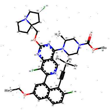 COCOc1cc(-c2ncc3c(N4CCN(C(=O)OC(C)(C)C)C[C@@H]4C)nc(OC[C@@]45CCCN4C[C@H](F)C5)nc3c2F)c2c(C#C[Si](C(C)C)(C(C)C)C(C)C)c(F)ccc2c1